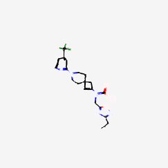 CCc1noc(CN(C(=O)O)C2CC3(CCN(c4cc(C(F)(F)F)ccn4)CC3)C2)n1